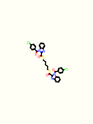 O=C(SCCCCCSC(=O)c1nc2ccccc2n1C(=O)c1ccc(Cl)cc1)c1nc2ccccc2n1C(=O)c1ccc(Cl)cc1